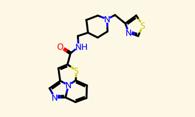 O=C(NCC1CCN(Cc2cscn2)CC1)C1=Cc2cnc3cccc(n23)S1